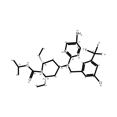 CC[C@@H]1C[C@@H](N(Cc2cc(Cl)cc(C(F)(F)F)c2)c2ncc(N)cn2)C[C@H](CC)N1C(=O)OC(C)C